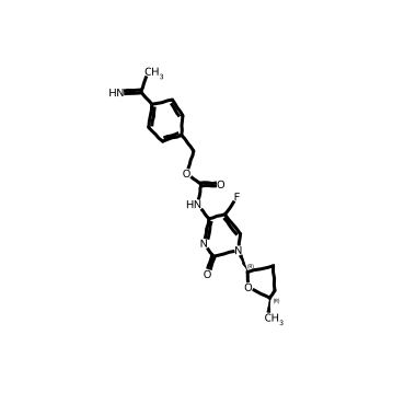 CC(=N)c1ccc(COC(=O)Nc2nc(=O)n([C@H]3CC[C@@H](C)O3)cc2F)cc1